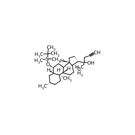 C#CC[C@](C)(O)[C@H]1CC[C@H]2[C@@H]3C[C@H](O[Si](C)(C)C(C)(C)C)[C@H]4C[C@@H](C)CC[C@]4(C)[C@H]3CC[C@@]21C